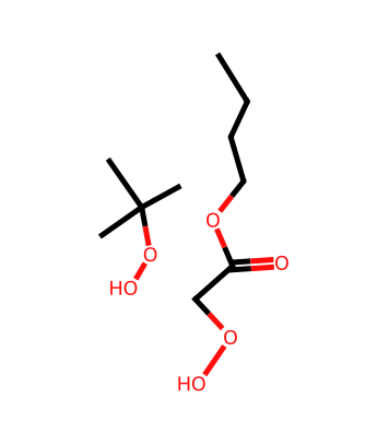 CC(C)(C)OO.CCCCOC(=O)COO